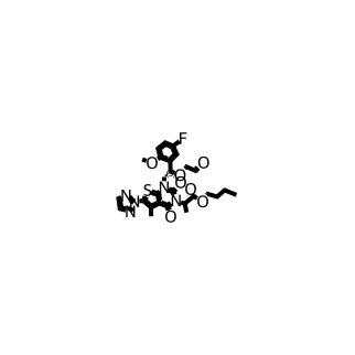 CCCCOC(=O)C(C)n1c(=O)c2c(C)c(-n3nccn3)sc2n(C[C@@H](OCC=O)c2cc(F)ccc2OC)c1=O